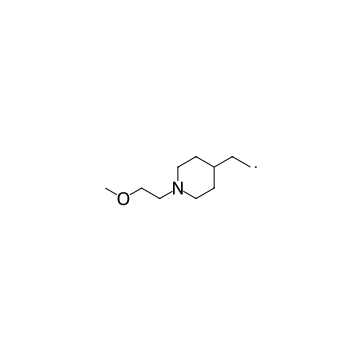 [CH2]CC1CCN(CCOC)CC1